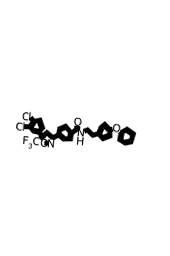 O=C(NCCc1ccc(Oc2ccccc2)cc1)c1ccc(C2=NOC(c3ccc(Cl)c(Cl)c3)(C(F)(F)F)C2)cc1